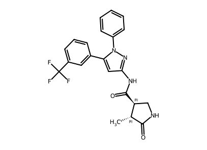 C[C@H]1C(=O)NC[C@@H]1C(=O)Nc1cc(-c2cccc(C(F)(F)F)c2)n(-c2ccccc2)n1